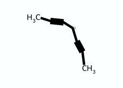 CC#C[C]C#CC